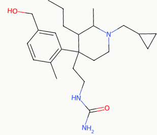 CCCC1C(C)N(CC2CC2)CCC1(CCNC(N)=O)c1cc(CO)ccc1C